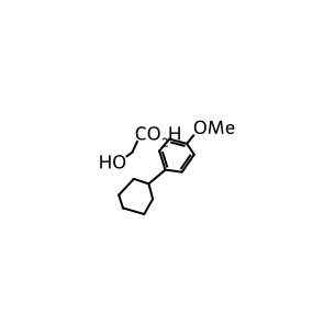 COc1ccc(C2CCCCC2)cc1.O=C(O)CO